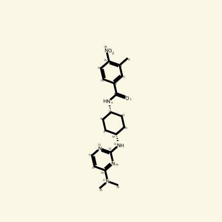 Cc1cc(C(=O)N[C@H]2CC[C@@H](Nc3nccc(N(C)C)n3)CC2)ccc1[N+](=O)[O-]